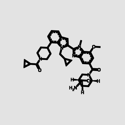 COc1cc(C(=O)N2C[C@H]3CC[C@@H]2C[C@@H]3N)cc2nc(-c3cc4cccc(C5CCN(C(=O)C6CC6)CC5)c4n3CC3CC3)n(C)c12